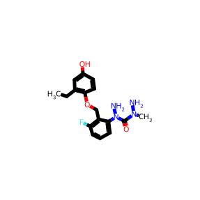 CCc1cc(O)ccc1OCc1c(F)cccc1N(N)C(=O)N(C)N